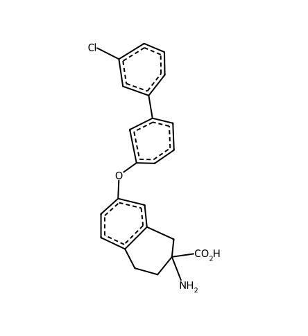 NC1(C(=O)O)CCc2ccc(Oc3cccc(-c4cccc(Cl)c4)c3)cc2C1